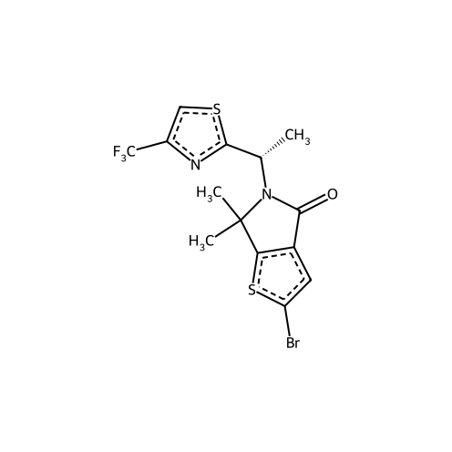 C[C@@H](c1nc(C(F)(F)F)cs1)N1C(=O)c2cc(Br)sc2C1(C)C